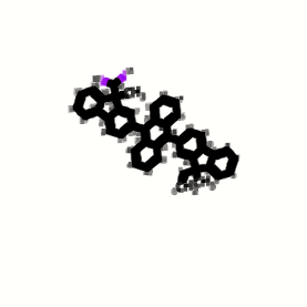 C=CC1(C)c2ccccc2-c2ccc(-c3c4ccccc4c(-c4ccc5c(c4)C(C)(C(I)I)c4ccccc4-5)c4ccccc34)cc21